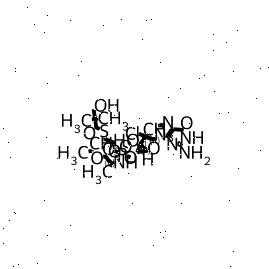 CC(C)OC(=O)[C@@H](C)NP(=O)(OCCSC(=O)C(C)(C)CO)OC1[C@H]2O[C@@H](n3cnc4c(=O)[nH]c(N)nc43)[C@](C)(Cl)[C@@]12O